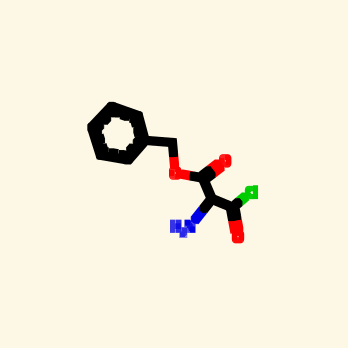 NC(C(=O)Cl)C(=O)OCc1ccccc1